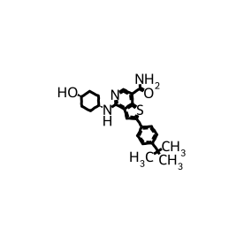 CC(C)(C)c1ccc(-c2cc3c(N[C@H]4CC[C@H](O)CC4)ncc(C(N)=O)c3s2)cc1